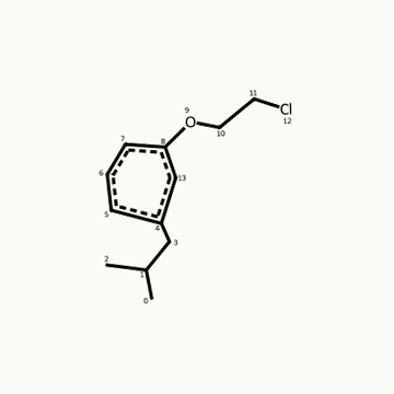 CC(C)Cc1c[c]cc(OCCCl)c1